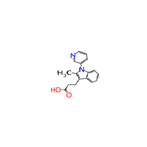 Cc1c(CCC(=O)O)c2ccccc2n1-c1cccnc1